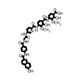 COc1c(NC(=O)c2ccc(NC(=O)c3ccc(NC(=O)CNC(=O)c4ccc(NC(=O)c5ccc6cc(O)ccc6c5)cc4)cn3)c(OC)c2O)ccc(C(=O)O)c1O